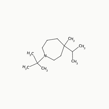 CC(C)C1(C)CCCN(C(C)(C)C)CC1